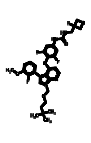 COc1cccc(-c2cn(COCC[Si](C)(C)C)c3nccc(Oc4c(F)cc(NC(=O)NCC5(F)COC5)cc4F)c23)c1F